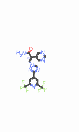 NC(=O)/C(=C/n1cnc(-c2cc(C(F)(F)F)nc(C(F)(F)F)c2)n1)c1cncnc1